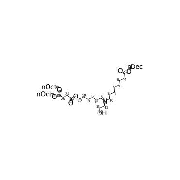 CCCCCCCCCCOC(=O)CCCCCCCN(CCO)CCCCCCOC(=O)CCC(OCCCCCCCC)OCCCCCCCC